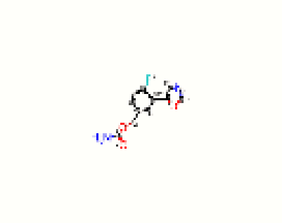 NC(=O)OCc1ccc(F)c(-c2cnco2)c1